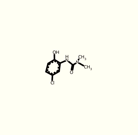 CN(C)C(=O)Nc1cc(Cl)ccc1O